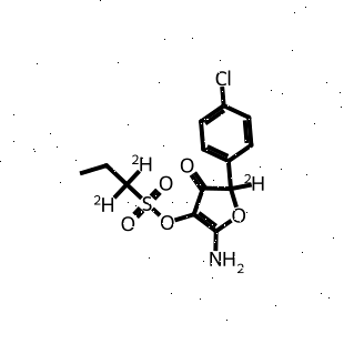 [2H]C1(c2ccc(Cl)cc2)OC(N)=C(OS(=O)(=O)C([2H])([2H])CC)C1=O